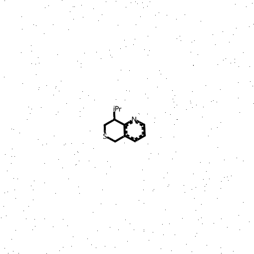 CC(C)C1CSCc2cccnc21